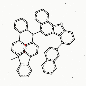 CC1(C)c2ccccc2-c2ccc(N(c3ccccc3-c3ccccc3)c3cc4c(oc5cccc(-c6ccc7ccccc7c6)c54)c4ccccc34)cc21